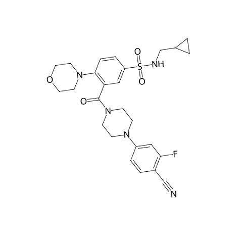 N#Cc1ccc(N2CCN(C(=O)c3cc(S(=O)(=O)NCC4CC4)ccc3N3CCOCC3)CC2)cc1F